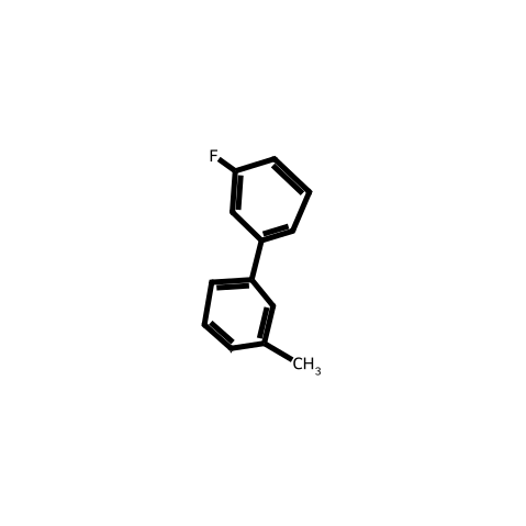 Cc1[c]ccc(-c2cccc(F)c2)c1